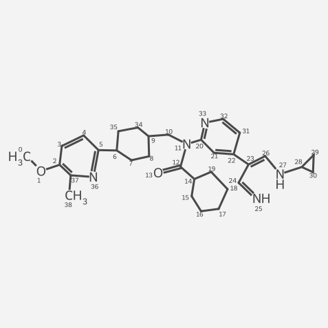 COc1ccc(C2CCC(CN(C(=O)C3CCCCC3)c3cc(/C(C=N)=C/NC4CC4)ccn3)CC2)nc1C